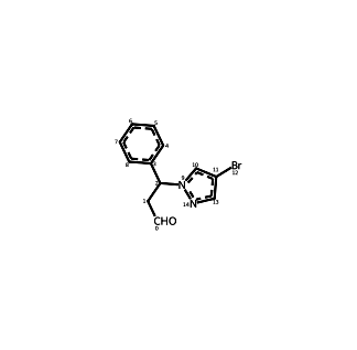 O=CCC(c1ccccc1)n1cc(Br)cn1